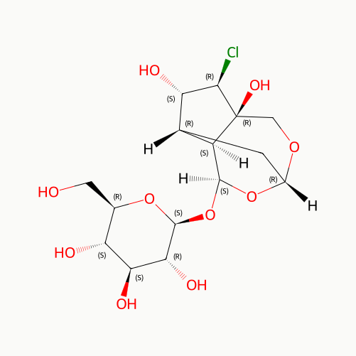 OC[C@H]1O[C@@H](O[C@@H]2O[C@@H]3C[C@H]4[C@H](O)[C@@H](Cl)[C@](O)(CO3)[C@@H]24)[C@H](O)[C@@H](O)[C@@H]1O